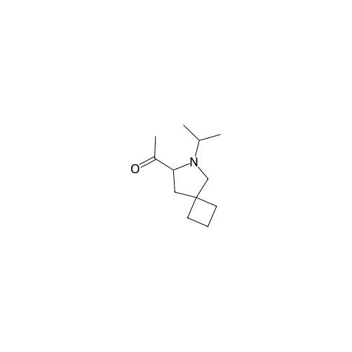 CC(=O)C1CC2(CCC2)CN1C(C)C